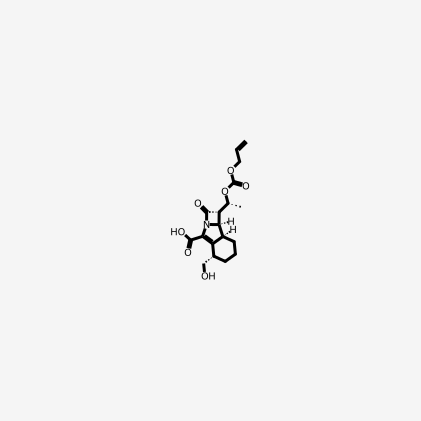 C=CCOC(=O)O[C@H](C)[C@H]1C(=O)N2C(C(=O)O)=C3[C@@H](CO)CCC[C@@H]3[C@H]12